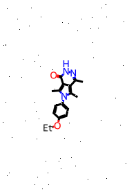 CCOc1ccc(-n2c(C)c3c(C)n[nH]c(=O)c3c2C)cc1